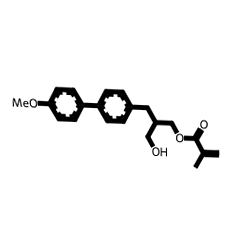 C=C(C)C(=O)OCC(CO)Cc1ccc(-c2ccc(OC)cc2)cc1